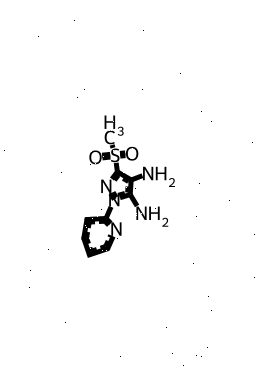 CS(=O)(=O)c1nn(-c2ccccn2)c(N)c1N